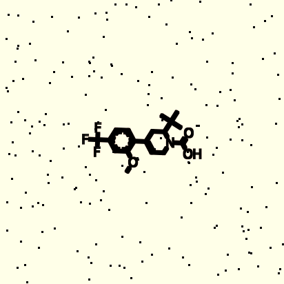 COc1cc(C(F)(F)F)ccc1C1=CCN(C(=O)O)C(C(C)(C)C)C1